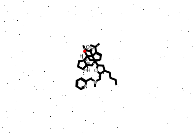 CCCCC1CC(C23C[C@@H]4[C@H](C)CC[C@H]4C4(C=O)CC2C=C(C(C)C)C34C(=O)OC)OC1CN(C)Cc1ccccn1